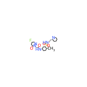 Cc1ccc(NC(=O)Cn2ncc(F)cc2=O)cc1S(=O)(=O)NCCc1ccccn1